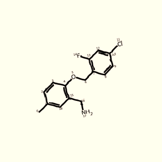 Cc1ccc(OCc2ccc(Cl)cc2F)c(CN)c1